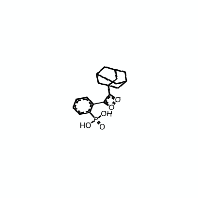 O=P(O)(O)c1ccccc1-c1ooc1C12CC3CC(CC(C3)C1)C2